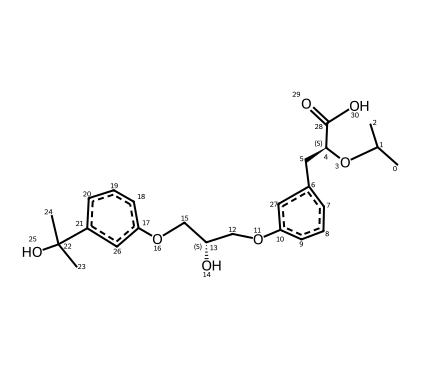 CC(C)O[C@@H](Cc1cccc(OC[C@H](O)COc2cccc(C(C)(C)O)c2)c1)C(=O)O